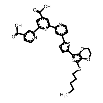 CCCCCSc1sc(-c2ccc(-c3ccnc(-c4cc(C(=O)O)cc(-c5cc(C(=O)O)ccn5)n4)c3)s2)c2c1OCCO2